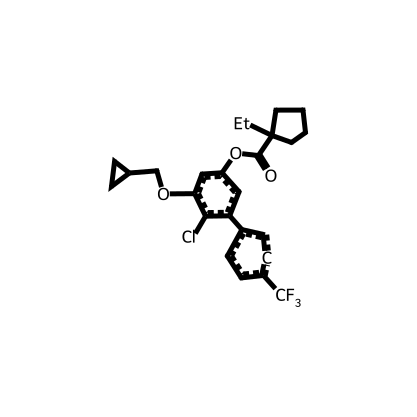 CCC1(C(=O)Oc2cc(OCC3CC3)c(Cl)c(-c3ccc(C(F)(F)F)cc3)c2)CCCC1